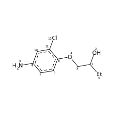 CCC(O)COc1ccc(N)cc1Cl